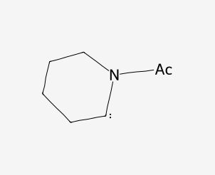 CC(=O)N1[C]CCCC1